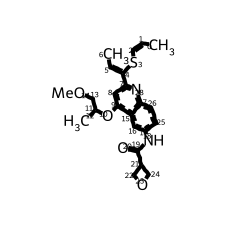 C/C=C\S/C(=C\C)c1cc(OC(C)COC)c2cc(NC(=O)C3COC3)ccc2n1